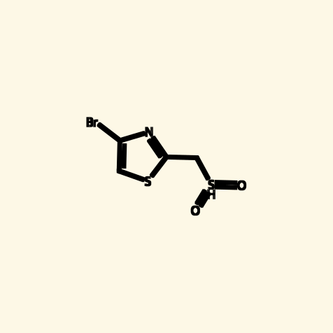 O=[SH](=O)Cc1nc(Br)cs1